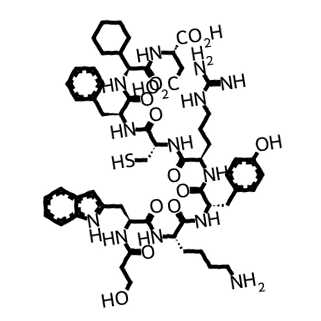 N=C(N)NCCC[C@@H](NC(=O)[C@H](Cc1ccc(O)cc1)NC(=O)[C@H](CCCCN)NC(=O)[C@H](Cc1cc2ccccc2[nH]1)NC(=O)CCO)C(=O)N[C@H](CS)C(=O)N[C@@H](Cc1ccccc1)C(=O)N[C@H](C(=O)N[C@@H](CC(=O)O)C(=O)O)C1CCCCC1